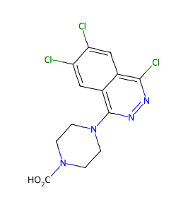 O=C(O)N1CCN(c2nnc(Cl)c3cc(Cl)c(Cl)cc23)CC1